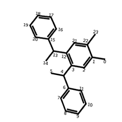 Cc1cc(C(C)c2ccccc2)c(C(C)c2ccccc2)cc1C